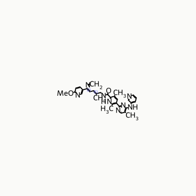 C=N/C(=C\C=C(/C)CNC(=O)c1nc(C)c(-c2ncc(C)c(Nc3cccnc3)n2)cc1C)c1ccc(OC)nc1